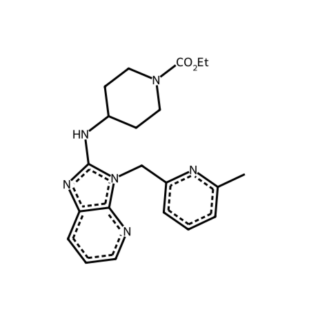 CCOC(=O)N1CCC(Nc2nc3cccnc3n2Cc2cccc(C)n2)CC1